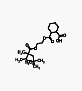 CC(C)C(C)(CC(C)(C)C)C(=O)OCCOC(=O)C1CCCCC1C(=O)O